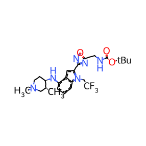 C[C@@H]1CN(C)CC[C@H]1Nc1cccc2c1cc(-c1noc(CNC(=O)OC(C)(C)C)n1)n2CC(F)(F)F